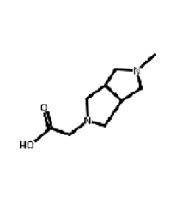 CN1CC2CN(CC(=O)O)CC2C1